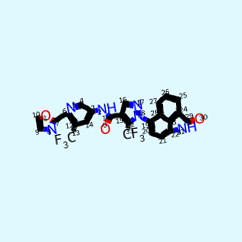 O=C(Nc1cnc(-c2ncco2)c(C(F)(F)F)c1)c1cnn(-c2ccc3c4c(cccc24)C(=O)N3)c1C(F)(F)F